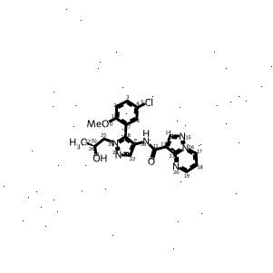 COc1ccc(Cl)cc1-c1c(NC(=O)c2cnn3cccnc23)cnn1C[C@H](C)O